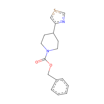 O=C(OCc1ccccc1)N1CCC(c2cscn2)CC1